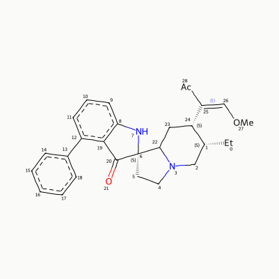 CC[C@@H]1CN2CC[C@]3(Nc4cccc(-c5ccccc5)c4C3=O)C2C[C@@H]1/C(=C\OC)C(C)=O